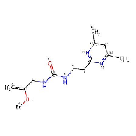 C=C(CNC(=O)NCCc1nc(C)cc(C)n1)OCC